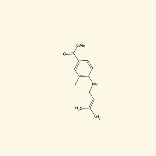 COC(=O)c1ccc(NCC=C(C)C)c(I)c1